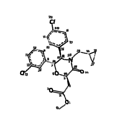 COC(=O)C[C@H]1O[C@H](c2cccc(Cl)c2)[C@@H](c2ccc(Cl)cc2)N(CC2CC2)C1=O